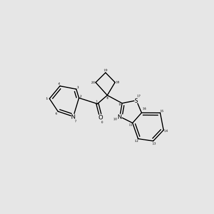 O=C(c1ccccn1)C1(c2nc3ccccc3s2)CCC1